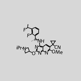 COc1nc2nc(OC3CN(C(C)C)C3)nc(N[C@H](C)c3cccc(C(C)F)c3F)c2cc1C1(C#N)CC1